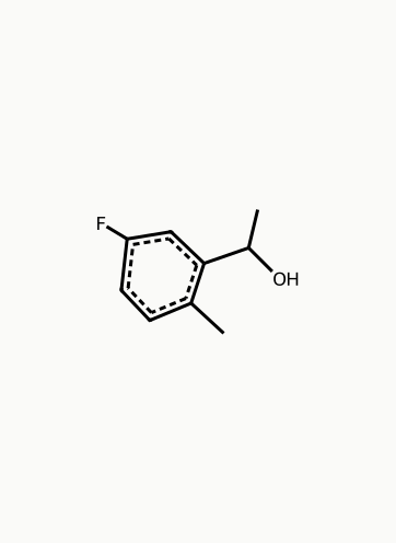 Cc1ccc(F)cc1C(C)O